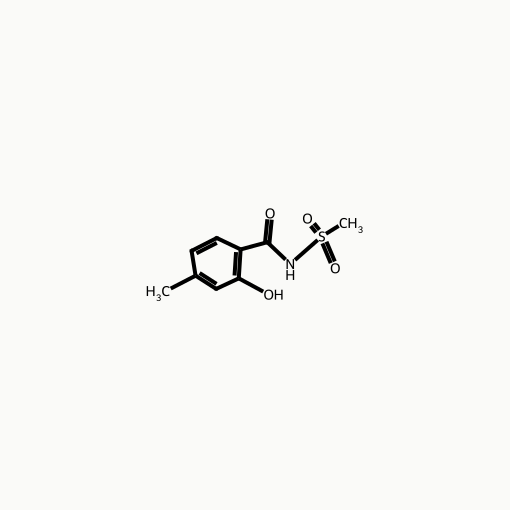 Cc1ccc(C(=O)NS(C)(=O)=O)c(O)c1